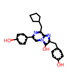 Oc1ccc(Cc2nc3c(CC4CCCC4)nc(-c4ccc(O)cc4)cn3c2O)cc1